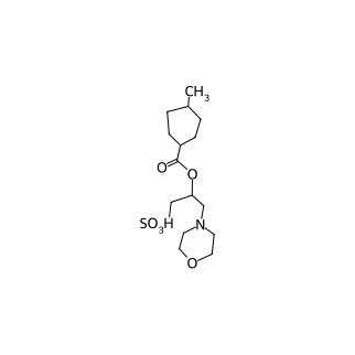 CC1CCC(C(=O)OC(CN2CCOCC2)CS(=O)(=O)O)CC1